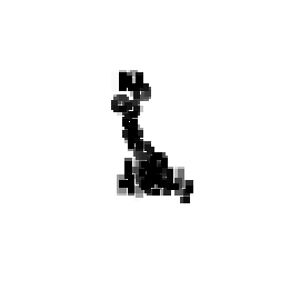 CC(C)(C)S(=O)(=O)NC(=O)c1ccc(N2CCN(Cc3ccc(-c4cccc(O)c4)c4ccccc34)CC2)cc1